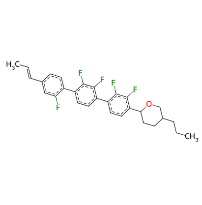 C/C=C/c1ccc(-c2ccc(-c3ccc(C4CCC(CCC)CO4)c(F)c3F)c(F)c2F)c(F)c1